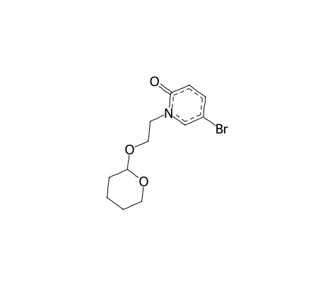 O=c1ccc(Br)cn1CCOC1CCCCO1